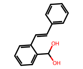 OC(O)c1ccccc1C=Cc1ccccc1